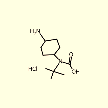 CC(C)(C)N(C(=O)O)C1CCC(N)CC1.Cl